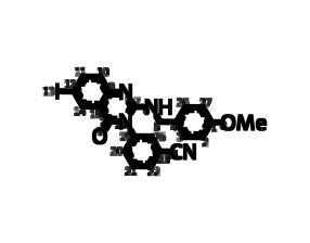 COc1ccc(CNc2nc3ccc(I)cc3c(=O)n2-c2cccc(C#N)c2)cc1